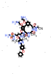 Cc1nc(-c2ccc(OC3CCCCC3)cc2)nc(C)c1C(=O)NC(CCCNS(N)(=O)=O)C(=O)N(C)[C@@H]1C(=O)N[C@@H](C)C(=O)N[C@H](C(=O)NCC#N)Cc2ccc(OCCN)c(c2)-c2cc1ccc2OCCN